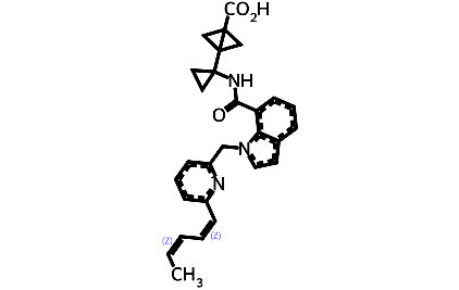 C/C=C\C=C/c1cccc(Cn2ccc3cccc(C(=O)NC4(C56CC5(C(=O)O)C6)CC4)c32)n1